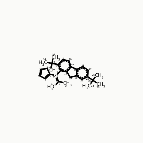 C[C](C)=[Zr]([C]1=CC=CC1)[c]1c(C(C)(C)C)ccc2c1Cc1cc(C(C)(C)C)ccc1-2